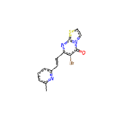 Cc1cccc(/C=C/c2nc3sccn3c(=O)c2Br)n1